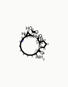 N[C@H]1CCCCC/C=C\[C@@H]2C[C@@]2(C(=O)O)NC(=O)[C@@H]2CCCN2C1=O